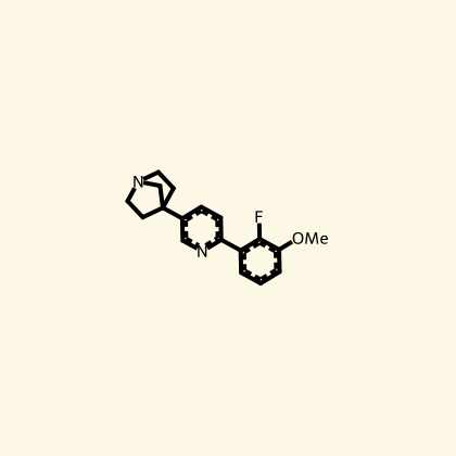 COc1cccc(-c2ccc(C34CCN(CC3)C4)cn2)c1F